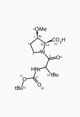 CO[C@@H]1CCN(C(=O)C(NC(=O)OC(C)(C)C)C(C)(C)C)[C@@H]1C(=O)O